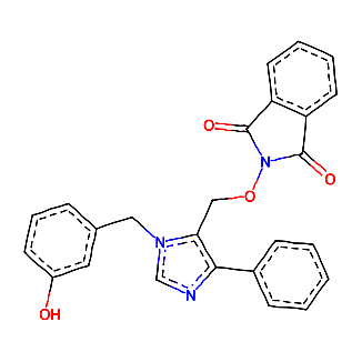 O=C1c2ccccc2C(=O)N1OCc1c(-c2ccccc2)ncn1Cc1cccc(O)c1